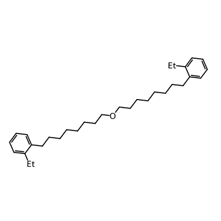 CCc1ccccc1CCCCCCCCOCCCCCCCCc1ccccc1CC